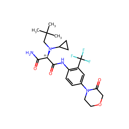 CC(C)(C)CN(C1CC1)[C@H](C(N)=O)C(=O)Nc1ccc(N2CCOCC2=O)cc1C(F)(F)F